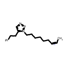 C/C=C\CCCCCCn1nncc1CCC(C)C